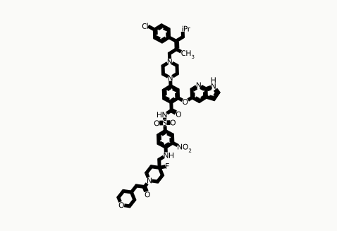 C/C(CN1CCN(c2ccc(C(=O)NS(=O)(=O)c3ccc(NCC4(F)CCN(C(=O)CC5CCOCC5)CC4)c([N+](=O)[O-])c3)c(Oc3cnc4[nH]ccc4c3)c2)CC1)=C(\CC(C)C)c1ccc(Cl)cc1